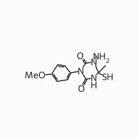 COc1ccc(N2C(=O)NC(C)(S)N(N)C2=O)cc1